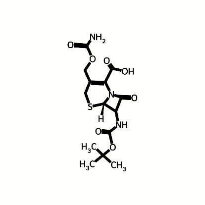 CC(C)(C)OC(=O)NC1C(=O)N2C(C(=O)O)=C(COC(N)=O)CS[C@@H]12